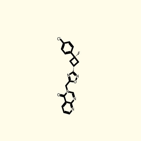 O=c1c2cccnc2ncn1Cc1nc([C@H]2C[C@](F)(c3ccc(Cl)cc3)C2)no1